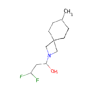 CC1CCC2(CC1)CN(C(O)CC(F)F)C2